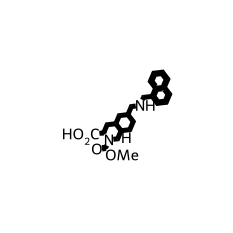 COC(=O)N1C[C@@H]2CCC(CNCc3cccc4ccccc34)CC2CC1C(=O)O